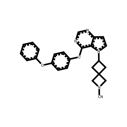 N#CN1CC2(CC(n3ccc4ncnc(Oc5ccc(Oc6ccccc6)cc5)c43)C2)C1